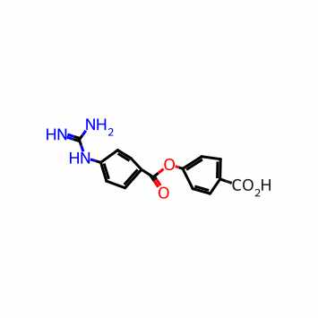 N=C(N)Nc1ccc(C(=O)Oc2ccc(C(=O)O)cc2)cc1